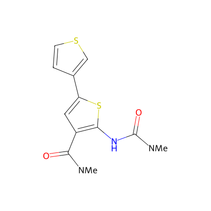 CNC(=O)Nc1sc(-c2ccsc2)cc1C(=O)NC